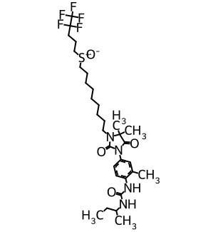 CCC(C)NC(=O)Nc1ccc(N2C(=O)N(CCCCCCCCC[S+]([O-])CCCC(F)(F)C(F)(F)F)C(C)(C)C2=O)cc1C